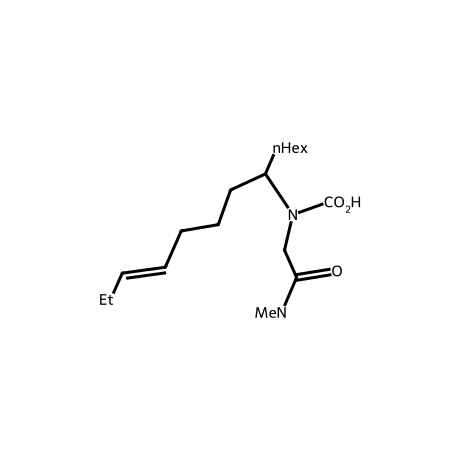 CCC=CCCCC(CCCCCC)N(CC(=O)NC)C(=O)O